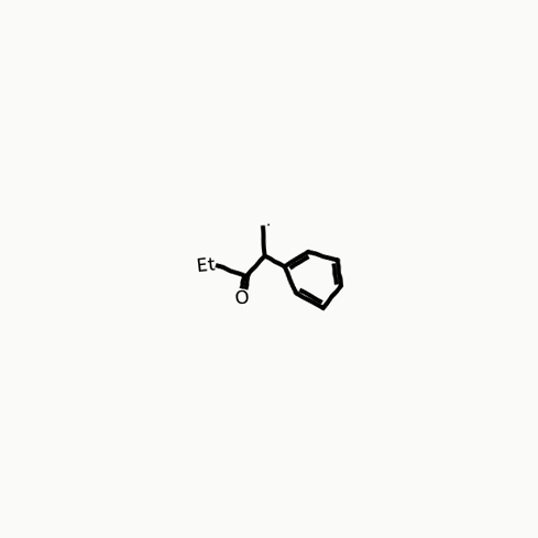 [CH2]C(C(=O)CC)c1ccccc1